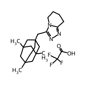 CC12CC3(C)CC(C)(C1)CC(Cc1nnc4n1CCCC4)(C2)C3.O=C(O)C(F)(F)F